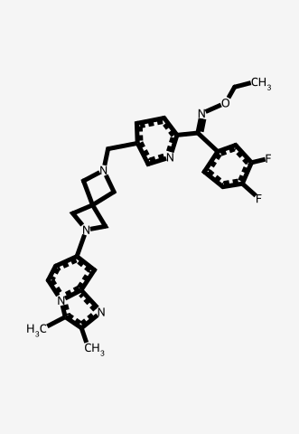 CCON=C(c1ccc(F)c(F)c1)c1ccc(CN2CC3(C2)CN(c2ccn4c(C)c(C)nc4c2)C3)cn1